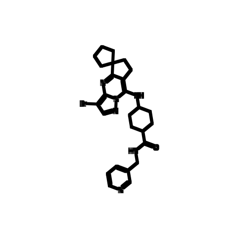 O=C(NCc1cccnc1)C1CCC(Nc2c3c(nc4c(Br)cnn24)C2(CCCC2)CC3)CC1